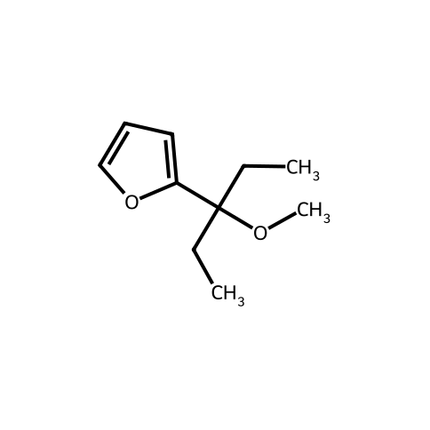 CCC(CC)(OC)c1ccco1